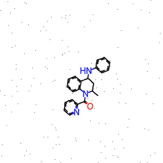 CC1CC(Nc2ccccc2)c2ccccc2N1C(=O)c1ccccn1